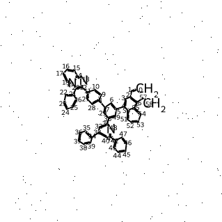 C=Cc1cc(-c2cc(-c3ccc(-c4nc5ccccn5c4-c4ccccc4)cc3)cc(-c3cc(-c4ccccc4)cc(-c4ccccc4)n3)c2)c2ccccc2c1C=C